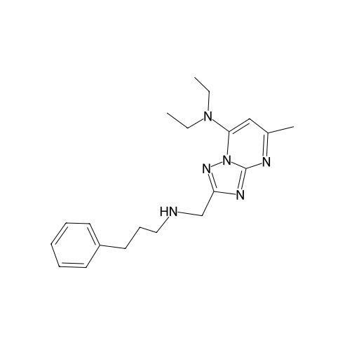 CCN(CC)c1cc(C)nc2nc(CNCCCc3ccccc3)nn12